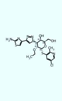 CCO[C@@H]1[C@@H](n2cc(-c3csc(N)n3)nn2)[C@@H](O)[C@@H](CO)O[C@@H]1Sc1cc(Cl)cnc1C